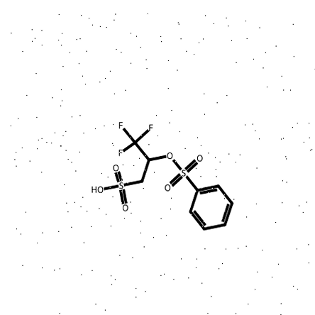 O=S(=O)(O)CC(OS(=O)(=O)c1ccccc1)C(F)(F)F